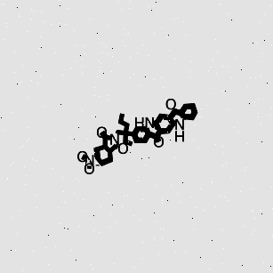 CCCC(CC)(CN1C(=O)C2C=CC([N+](=O)[O-])=CC2C1=O)c1ccc2c(=O)c3cc4[nH]c5ccccc5c(=O)c4cc3[nH]c2c1